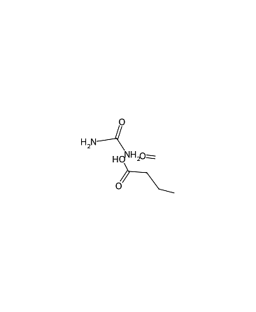 C=O.CCCC(=O)O.NC(N)=O